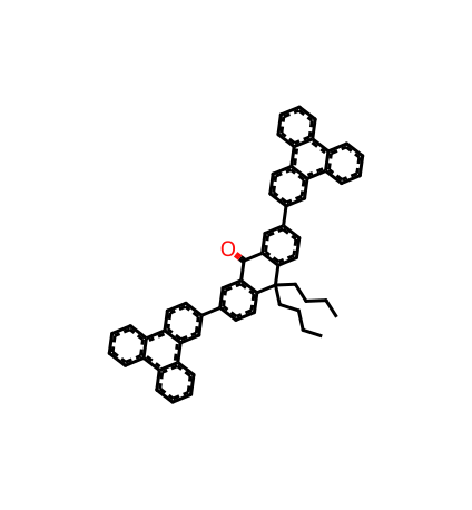 CCCCC1(CCCC)c2ccc(-c3ccc4c5ccccc5c5ccccc5c4c3)cc2C(=O)c2cc(-c3ccc4c5ccccc5c5ccccc5c4c3)ccc21